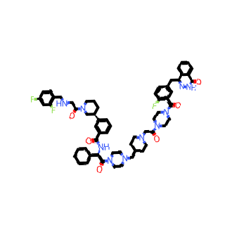 O=C(N[C@@H](C(=O)N1CCN(CC2CCN(CC(=O)N3CCN(C(=O)c4cc(Cc5n[nH]c(=O)c6ccccc56)ccc4F)CC3)CC2)CC1)C1CCCCC1)c1cccc([C@@H]2CCCN(C(=O)CNCc3ccc(F)cc3F)C2)c1